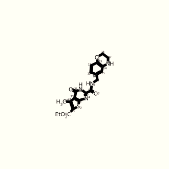 CCOC(=O)c1sc2nc(C(=O)NCc3ccc4c(c3)NCCO4)[nH]c(=O)c2c1C